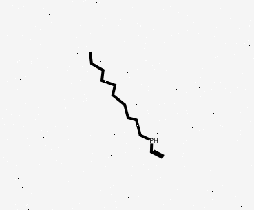 C=CPCCCCCCCCCC